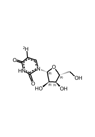 [2H]c1cn([C@@H]2O[C@H](CO)[C@@H](O)[C@H]2O)c(=O)[nH]c1=O